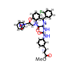 COC(=O)/C=C/c1cccc(NC(=O)NC2N=C(c3ccccc3F)c3ccccc3N(CC(=O)N3CC4CCC(CC4)C3)C2=O)c1